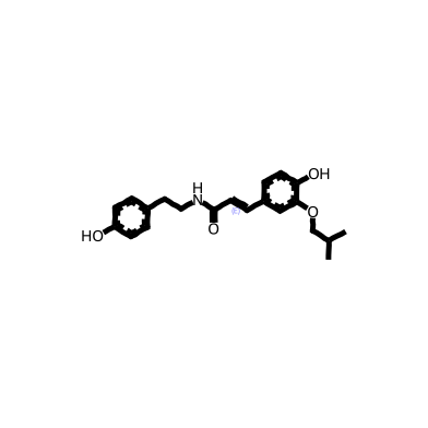 CC(C)COc1cc(/C=C/C(=O)NCCc2ccc(O)cc2)ccc1O